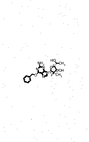 CC(O)[C@H]1O[C@@H](n2cnc3c(OCc4ccccc4)nc(N)nc32)[C@](C)(F)[C@@H]1O